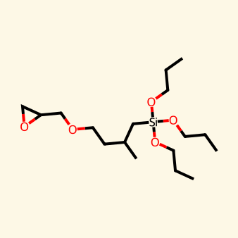 CCCO[Si](CC(C)CCOCC1CO1)(OCCC)OCCC